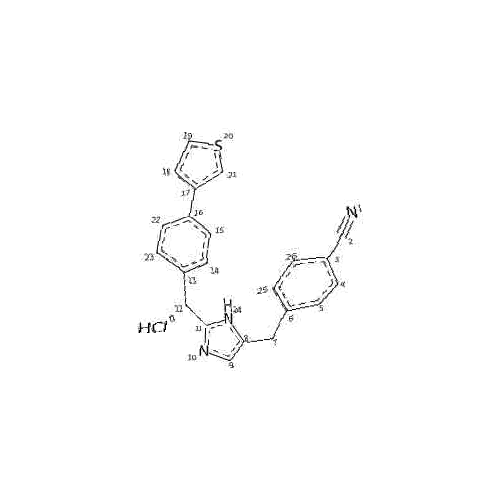 Cl.N#Cc1ccc(Cc2cnc(Cc3ccc(-c4ccsc4)cc3)[nH]2)cc1